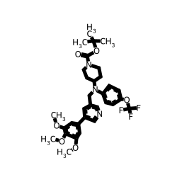 COc1cc(-c2cncc(CN(c3ccc(OC(F)(F)F)cc3)C3CCN(C(=O)OC(C)(C)C)CC3)c2)cc(OC)c1OC